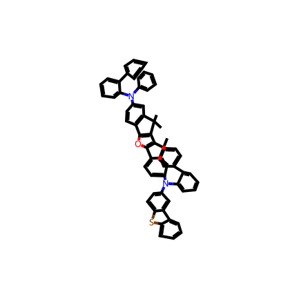 CC1(C)c2cc(N(c3ccccc3)c3ccccc3-c3ccccc3)ccc2-c2oc3c(c21)C(C)(C)c1cc(N(c2ccc4sc5ccccc5c4c2)c2ccccc2-c2ccccc2)ccc1-3